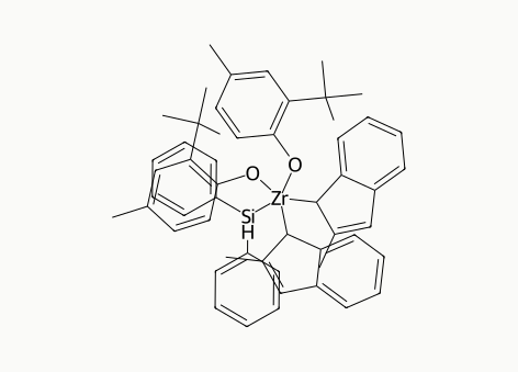 CC1=Cc2ccccc2[CH]1[Zr]([O]c1ccc(C)cc1C(C)(C)C)([O]c1ccc(C)cc1C(C)(C)C)([CH]1C(C)=Cc2ccccc21)[SiH](c1ccccc1)c1ccccc1